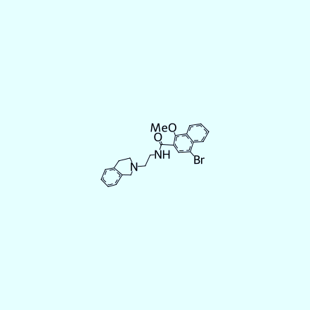 COc1c(C(=O)NCCN2CCc3ccccc3C2)cc(Br)c2ccccc12